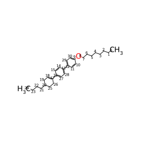 CCCCCCCCOc1ccc(-c2ccc(C3=CCC(CCCC)CC3)cc2)cc1